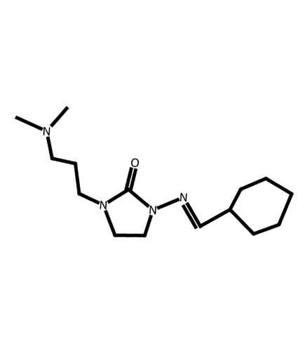 CN(C)CCCN1CCN(/N=C/C2CCCCC2)C1=O